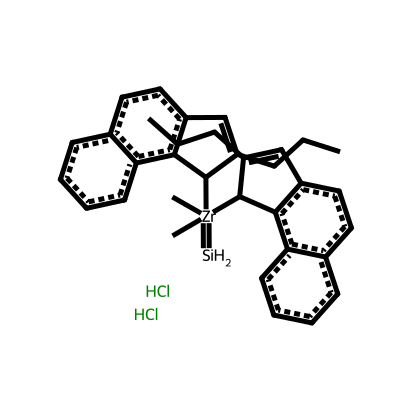 CCCC1=Cc2ccc3ccccc3c2[CH]1[Zr]([CH3])([CH3])(=[SiH2])[CH]1C(CCC)=Cc2ccc3ccccc3c21.Cl.Cl